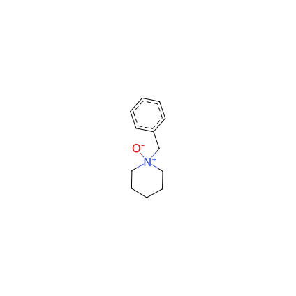 [O-][N+]1(Cc2ccccc2)CCCCC1